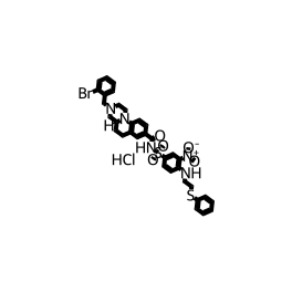 Cl.O=C(NS(=O)(=O)c1ccc(NCCSc2ccccc2)c([N+](=O)[O-])c1)c1ccc2c(c1)CC[C@H]1CN(Cc3ccccc3Br)CCN21